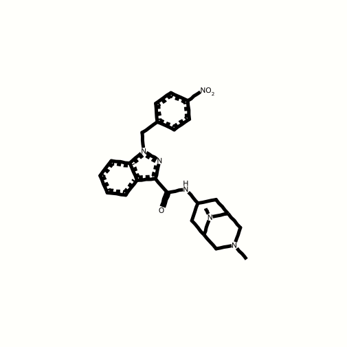 CN1CC2CC(NC(=O)c3nn(Cc4ccc([N+](=O)[O-])cc4)c4ccccc34)CC(C1)N2C